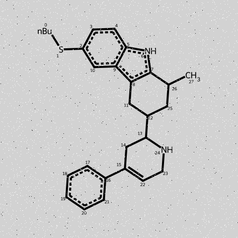 CCCCSc1ccc2[nH]c3c(c2c1)CC(C1CC(c2ccccc2)=CCN1)CC3C